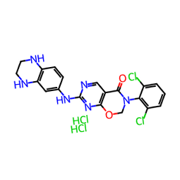 Cl.Cl.O=C1c2cnc(Nc3ccc4c(c3)NCCN4)nc2OCN1c1c(Cl)cccc1Cl